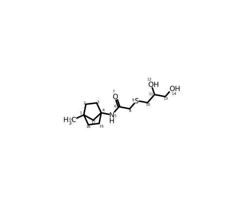 CC12CCC(NC(=O)CSCC(O)CO)(CC1)C2